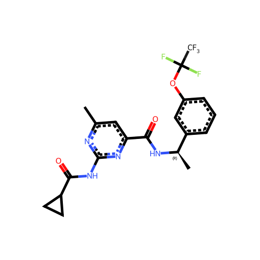 Cc1cc(C(=O)N[C@H](C)c2cccc(OC(F)(F)C(F)(F)F)c2)nc(NC(=O)C2CC2)n1